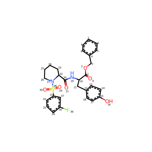 O=C(OCc1ccccc1)C(Cc1ccc(O)cc1)NC(=O)C1CCCCN1S(=O)(=O)c1cccc(F)c1